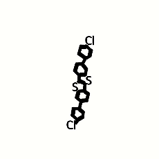 Clc1ccc(-c2ccc3c(c2)sc2c4ccc(-c5ccc(Cl)cc5)cc4sc32)cc1